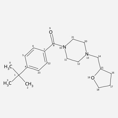 CC(C)(C)c1ccc(C(=O)N2CCN(CC3CCCO3)CC2)cc1